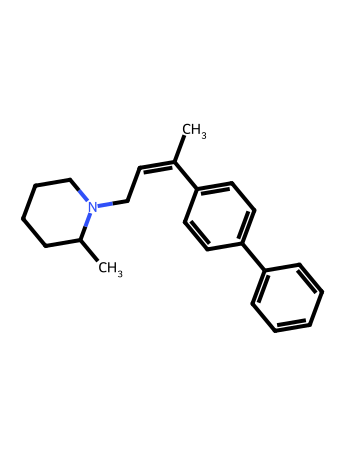 CC(=CCN1CCCCC1C)c1ccc(-c2ccccc2)cc1